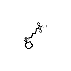 CC1(NCCCCS(=O)(=O)O)CCCCC1